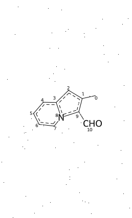 Cc1cc2ccccn2c1C=O